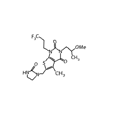 COC(C)Cn1c(=O)c2c(C)c(CN3CCNC3=O)sc2n(CCC(F)(F)F)c1=O